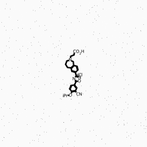 CC(C)Oc1ccc(-c2nc(-c3ccc4c(c3)CCCN(CCC(=O)O)C4)no2)cc1C#N.Cl